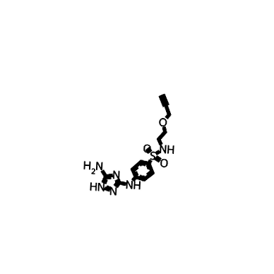 C#CCOCCNS(=O)(=O)c1ccc(Nc2n[nH]c(N)n2)cc1